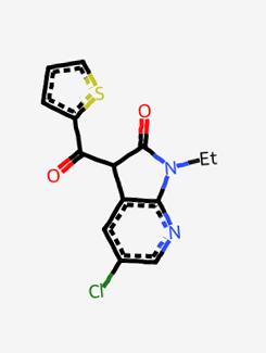 CCN1C(=O)C(C(=O)c2cccs2)c2cc(Cl)cnc21